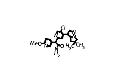 COc1ccc(C(C(N)=O)c2cc(-c3cnn4c3CC(C)(C)C4)c(Cl)cn2)cn1